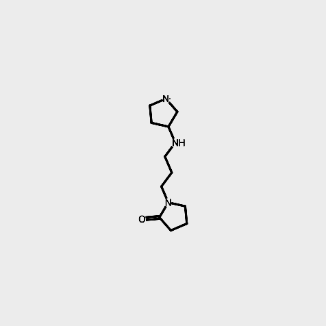 O=C1CCCN1CCCNC1CC[N]C1